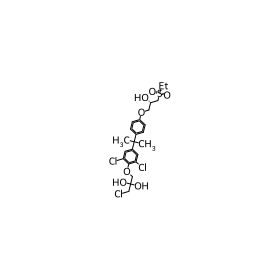 CCS(=O)(=O)C[C@@H](O)COc1ccc(C(C)(C)c2cc(Cl)c(OCC(O)(O)CCl)c(Cl)c2)cc1